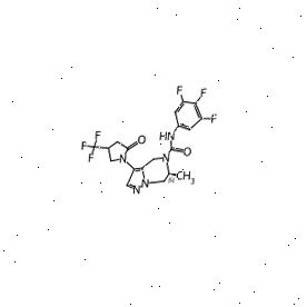 C[C@H]1Cn2ncc(N3CC(C(F)(F)F)CC3=O)c2CN1C(=O)Nc1cc(F)c(F)c(F)c1